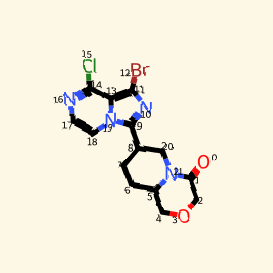 O=C1COCC2CCC(c3nc(Br)c4c(Cl)nccn34)CN12